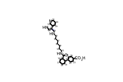 N=N/C(=C\NCCCCCCCNC(=O)c1ccccc1-c1ccc(C(=O)O)cc1)c1cccnc1